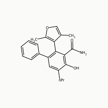 CCCc1cc(-c2ccccc2)c(-c2c(C)coc2C)c(C(N)=O)c1O